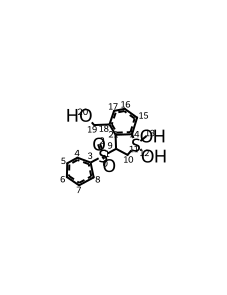 O=S(=O)(c1ccccc1)C1CS(O)(O)c2cccc(CO)c21